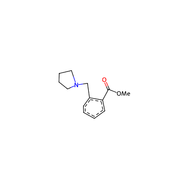 COC(=O)c1ccccc1CN1CCCC1